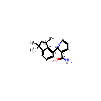 CC[C@@H]1CC(C)(C)c2cccc(-c3ncccc3C(N)=O)c21